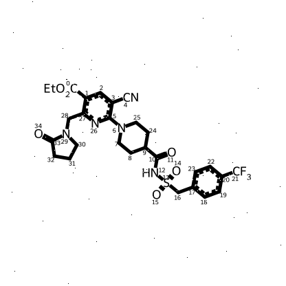 CCOC(=O)c1cc(C#N)c(N2CCC(C(=O)NS(=O)(=O)Cc3ccc(C(F)(F)F)cc3)CC2)nc1CN1CCCC1=O